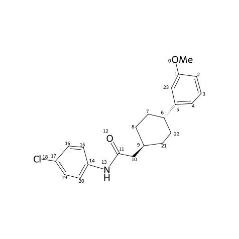 COc1cccc([C@H]2CC[C@H](CC(=O)Nc3ccc(Cl)cc3)CC2)c1